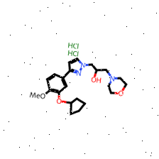 COc1ccc(-c2ccn(CC(O)CN3CCOCC3)n2)cc1OC1CCCC1.Cl.Cl